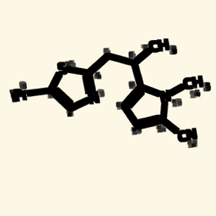 CC(C)c1cnc(CC(C)c2ccc(C#N)n2C)s1